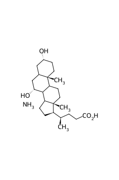 C[C@H](CCC(=O)O)[C@H]1CCC2C3C(CC[C@@]21C)[C@@]1(C)CC[C@@H](O)CC1C[C@H]3O.N